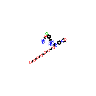 COCCOCCOCCOCCOCCOCCCOc1nn([C@H]2CC[C@H](N3C[C@@H](C)O[C@@H](C)C3)CC2)cc1Nc1ncc(-c2ccc(Cl)c(O[C@@H](C)Cn3cnnn3)c2)cn1